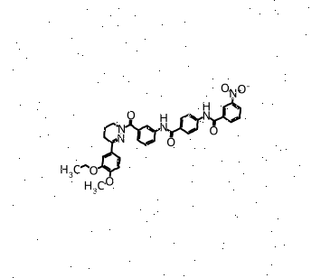 CCOc1cc(C2=NN(C(=O)c3cccc(NC(=O)c4ccc(NC(=O)c5cccc([N+](=O)[O-])c5)cc4)c3)CCC2)ccc1OC